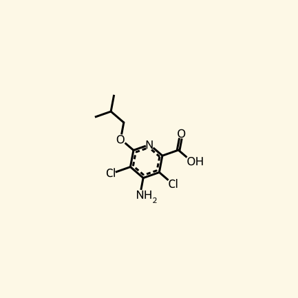 CC(C)COc1nc(C(=O)O)c(Cl)c(N)c1Cl